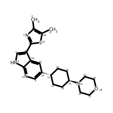 Cc1nc(-c2c[nH]c3ncc([C@H]4CC[C@H](N5CCOCC5)CC4)cc23)sc1C